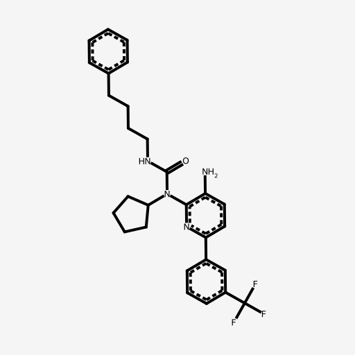 Nc1ccc(-c2cccc(C(F)(F)F)c2)nc1N(C(=O)NCCCCc1ccccc1)C1CCCC1